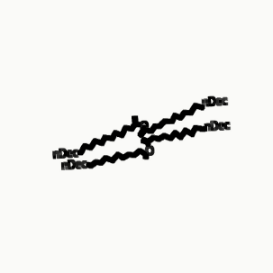 C=C(CCCCCCCCCCCCCCCCCCCC)OC(=C)CCCCCCCCCCCCCCCCCCCC.C=C(CCCCCCCCCCCCCCCCCCCCC)OC(=C)CCCCCCCCCCCCCCCCCCCCC